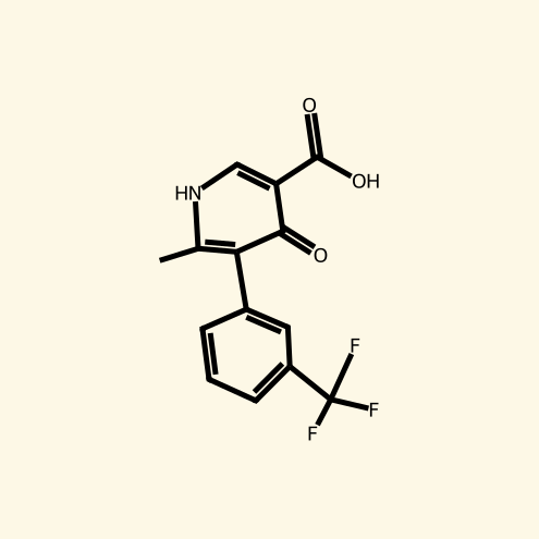 Cc1[nH]cc(C(=O)O)c(=O)c1-c1cccc(C(F)(F)F)c1